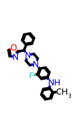 Cc1ccccc1Nc1ccc(N2CCN(C(c3ccccc3)c3ncco3)CC2)c(F)c1